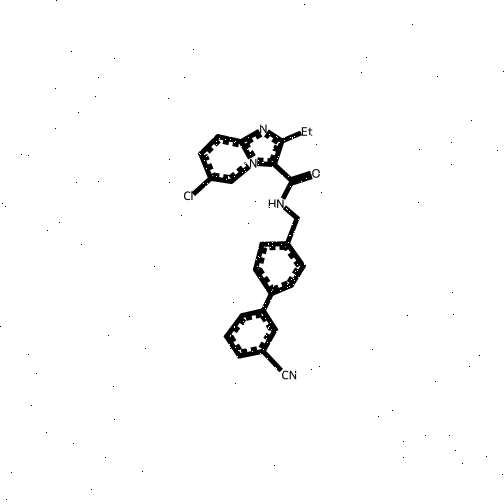 CCc1nc2ccc(Cl)cn2c1C(=O)NCc1ccc(-c2cccc(C#N)c2)cc1